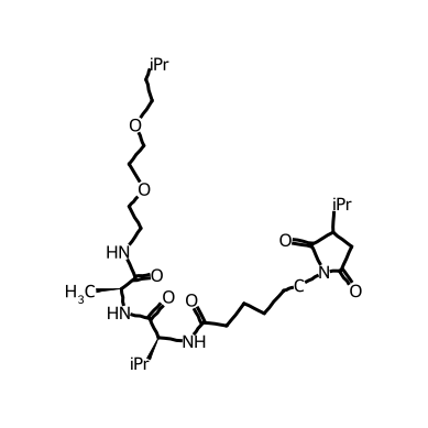 CC(C)CCOCCOCCNC(=O)[C@H](C)NC(=O)[C@@H](NC(=O)CCCCCN1C(=O)CC(C(C)C)C1=O)C(C)C